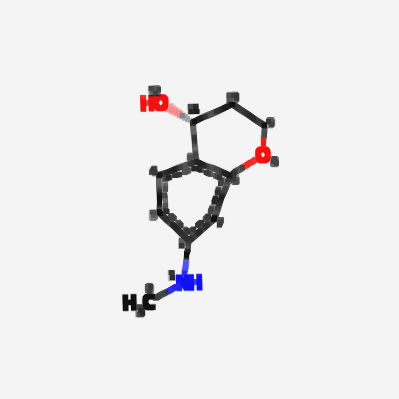 CNc1ccc2c(c1)OCC[C@H]2O